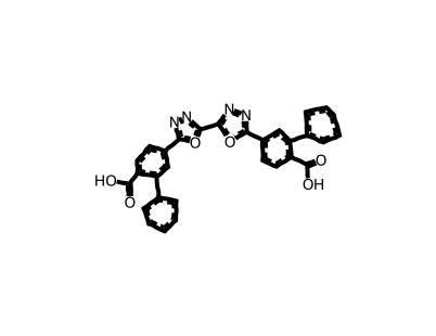 O=C(O)c1ccc(-c2nnc(-c3nnc(-c4ccc(C(=O)O)c(-c5ccccc5)c4)o3)o2)cc1-c1ccccc1